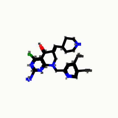 COc1cnc(CN2C/C(=C\C3CCNCC3)C(=O)c3c(Cl)nc(N)nc32)cc1OC